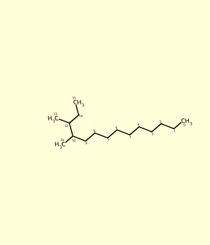 CCCCCCCCCCC(C)[C](C)CC